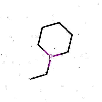 CCP1CCCCC1